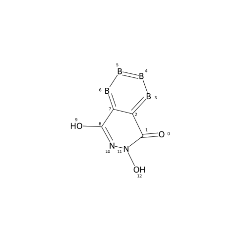 O=c1c2bbbbc2c(O)nn1O